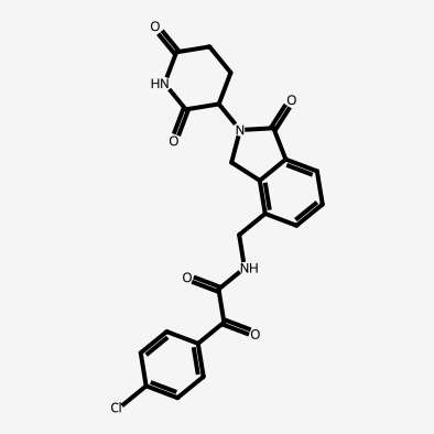 O=C1CCC(N2Cc3c(CNC(=O)C(=O)c4ccc(Cl)cc4)cccc3C2=O)C(=O)N1